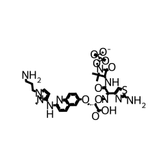 C[n+]1c(Nc2ccc3cc(OC[C@H](O/N=C(\C(=O)NC4C(=O)N(OS(=O)(=O)[O-])C4(C)C)c4csc(N)n4)C(=O)O)ccc3n2)ccn1CCCN